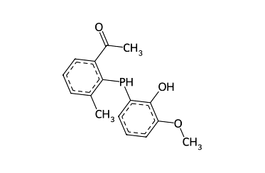 COc1cccc(Pc2c(C)cccc2C(C)=O)c1O